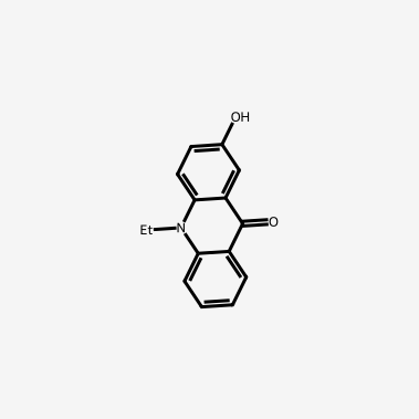 CCn1c2ccccc2c(=O)c2cc(O)ccc21